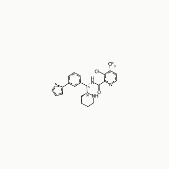 O=C(N[C@@H](c1cccc(-c2cccs2)c1)[C@@H]1CCCCN1)c1nccc(C(F)(F)F)c1Cl